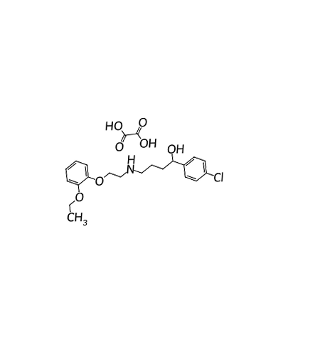 CCOc1ccccc1OCCNCCCC(O)c1ccc(Cl)cc1.O=C(O)C(=O)O